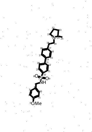 COc1ccc(CNS(=O)(=O)c2ccc(-c3ccc(CCN4CCCC4C)cc3)cc2)cc1